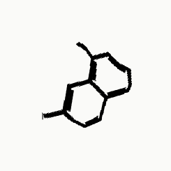 Cc1cccc2ccc(I)cc12